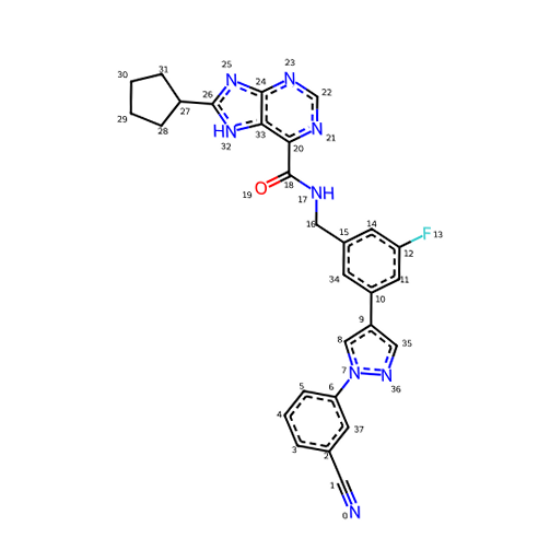 N#Cc1cccc(-n2cc(-c3cc(F)cc(CNC(=O)c4ncnc5nc(C6CCCC6)[nH]c45)c3)cn2)c1